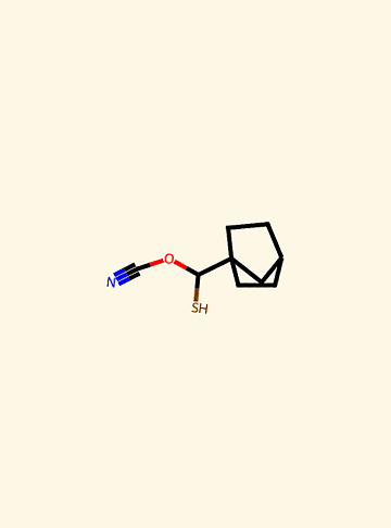 N#COC(S)C12CCC(CC1)C2